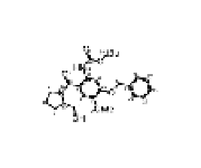 COc1cc(C(=O)N2CCCC2CO)c(NC(=O)OC(C)(C)C)cc1OCc1ccccc1